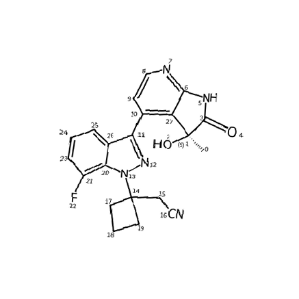 C[C@@]1(O)C(=O)Nc2nccc(-c3nn(C4(CC#N)CCC4)c4c(F)cccc34)c21